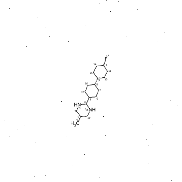 CC1CNC(C2CCC(C3CCC(F)CC3)CC2)NC1